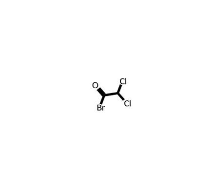 O=C(Br)C(Cl)Cl